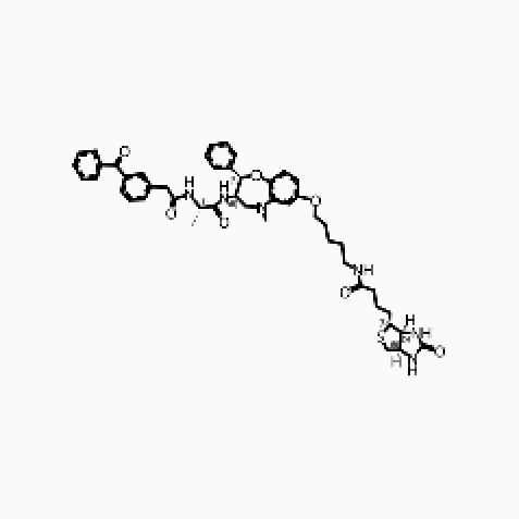 C[C@H](NC(=O)Cc1cccc(C(=O)c2ccccc2)c1)C(=O)N[C@@H]1CN(C)c2cc(OCCCCCNC(=O)CCC[C@@H]3SC[C@@H]4NC(=O)N[C@@H]43)ccc2O[C@@H]1c1ccccc1